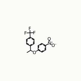 CC(Oc1ccc([N+](=O)[O-])cc1)c1ccc(C(F)(F)F)cc1